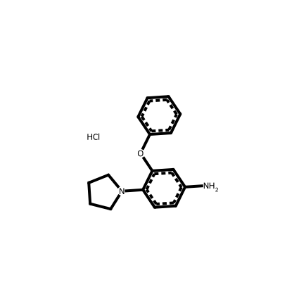 Cl.Nc1ccc(N2CCCC2)c(Oc2ccccc2)c1